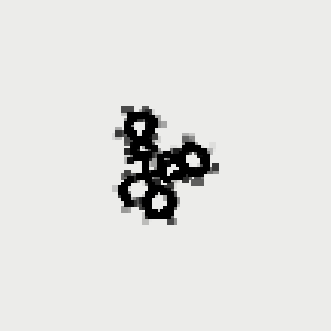 C1=Cc2ccccc2C(c2nc3ccccc3o2)(c2nc3ccccc3o2)C1